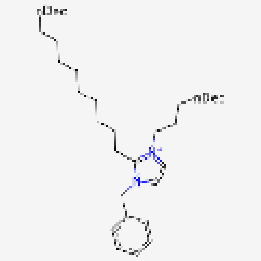 CCCCCCCCCCCCCCCCCCCc1n(Cc2ccccc2)cc[n+]1CCCCCCCCCCCCC